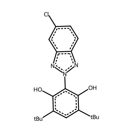 CC(C)(C)c1cc(C(C)(C)C)c(O)c(-n2nc3ccc(Cl)cc3n2)c1O